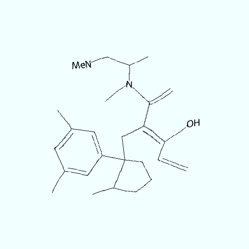 C=C/C(O)=C(\CC1(c2cc(C)cc(C)c2)CCCC1C)C(=C)N(C)C(C)CNC